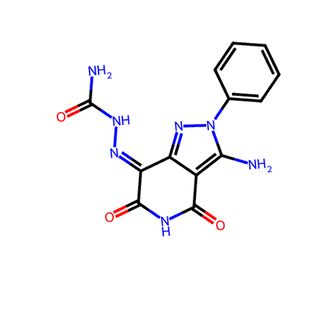 NC(=O)N/N=C1/C(=O)NC(=O)c2c1nn(-c1ccccc1)c2N